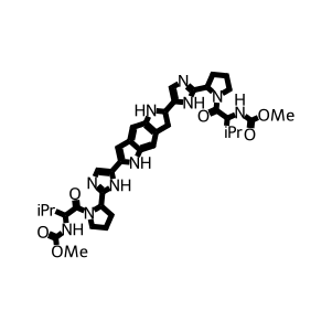 COC(=O)NC(C(=O)N1CCCC1c1ncc(-c2cc3cc4c(cc3[nH]2)CC(c2cnc(C3CCCN3C(=O)C(NC(=O)OC)C(C)C)[nH]2)N4)[nH]1)C(C)C